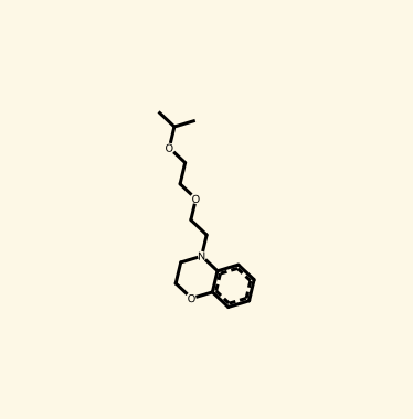 CC(C)OCCOCCN1CCOc2ccccc21